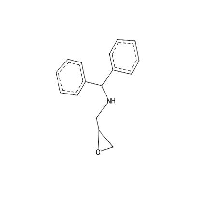 c1ccc(C(NCC2CO2)c2ccccc2)cc1